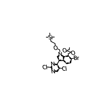 C[Si](C)(C)CCOCn1cc(-c2nc(Cl)ncc2Cl)c2ccc(Br)c(S(C)(=O)=O)c21